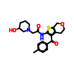 Cc1ccc(C(=O)c2c(NC(=O)CN3CCCC(O)C3)sc3c2CCOC3)cc1